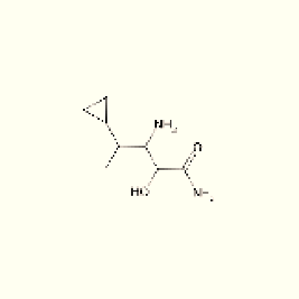 CC(C1CC1)C(N)C(O)C(N)=O